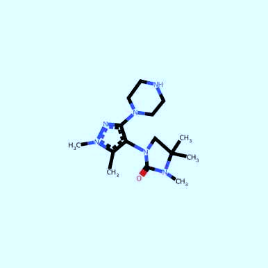 Cc1c(N2CC(C)(C)N(C)C2=O)c(N2CCNCC2)nn1C